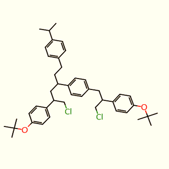 CC(C)c1ccc(CCC(CC(CCl)c2ccc(OC(C)(C)C)cc2)c2ccc(CC(CCl)c3ccc(OC(C)(C)C)cc3)cc2)cc1